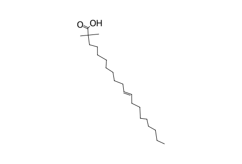 CCCCCCCCC=CCCCCCCCCC(C)(C)C(=O)O